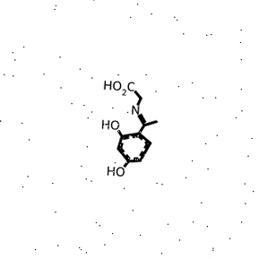 CC(=NCC(=O)O)c1ccc(O)cc1O